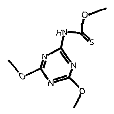 COC(=S)Nc1nc(OC)nc(OC)n1